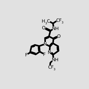 CC(NC(=O)c1cn(-c2ccc(F)cc2F)c2nc(NCC(F)(F)F)ccc2c1=O)C(F)(F)F